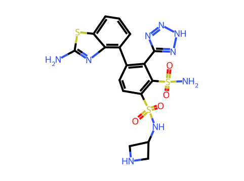 Nc1nc2c(-c3ccc(S(=O)(=O)NC4CNC4)c(S(N)(=O)=O)c3-c3nn[nH]n3)cccc2s1